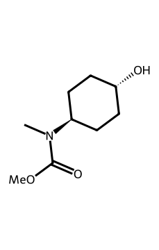 COC(=O)N(C)[C@H]1CC[C@H](O)CC1